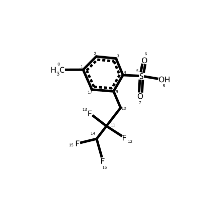 Cc1ccc(S(=O)(=O)O)c(CC(F)(F)C(F)F)c1